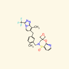 Cc1ccc(Cc2ccn3c(C(F)(F)F)nnc3c2C)cc1CN1CC2(COC2)Oc2ncccc2[S+]1[O-]